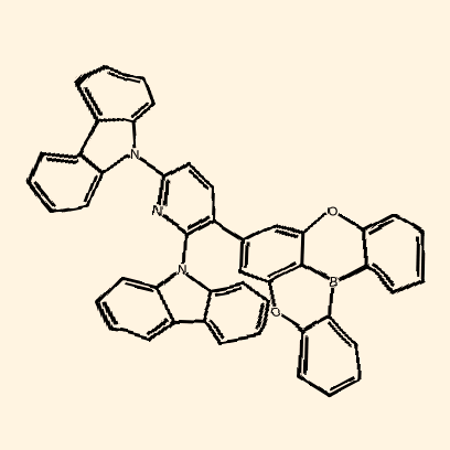 c1ccc2c(c1)Oc1cc(-c3ccc(-n4c5ccccc5c5ccccc54)nc3-n3c4ccccc4c4ccccc43)cc3c1B2c1ccccc1O3